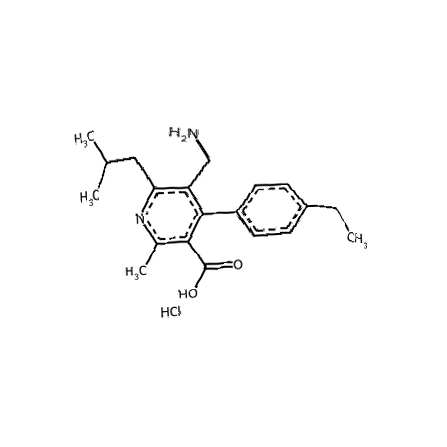 CCc1ccc(-c2c(CN)c(CC(C)C)nc(C)c2C(=O)O)cc1.Cl